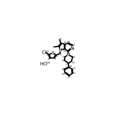 Cc1c(C)n(Cc2ccc(Cl)s2)c2c(N3CCC(c4ccccc4)CC3)nccc12.Cl